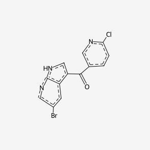 O=C(c1ccc(Cl)nc1)c1c[nH]c2ncc(Br)cc12